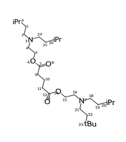 CC(C)CCN(CCOC(=O)CCCC(=O)OCCN(CCC(C)C)CCC(C)(C)C)CCC(C)C